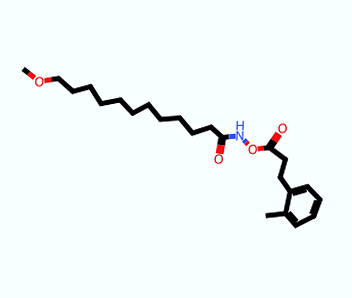 COCCCCCCCCCCCC(=O)NOC(=O)CCc1ccccc1C